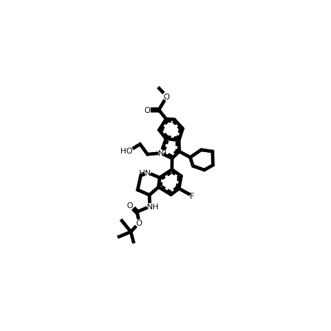 COC(=O)c1ccc2c(C3CCCCC3)c(-c3cc(F)cc4c3NCCC4NC(=O)OC(C)(C)C)n(CCO)c2c1